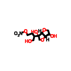 O=[N+]([O-])OCCC(CO)[C@]1(O)CO[C@@H]2[C@@H](O)CO[C@@H]21